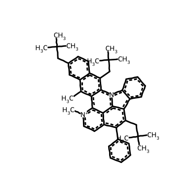 Cc1c2cc(CC(C)(C)C)ccc2c(CC(C)(C)C)c2c1c1c3c(cc[n+]1C)c(-c1ccccc1)c(CC(C)(C)C)c1c4ccccc4n2c13